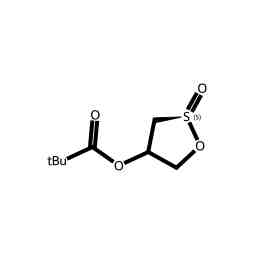 CC(C)(C)C(=O)OC1CO[S@](=O)C1